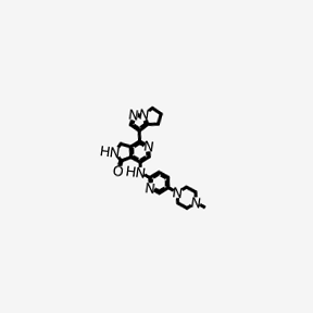 CN1CCN(c2ccc(Nc3cnc(-c4cnn5c4CCC5)c4c3C(=O)NC4)nc2)CC1